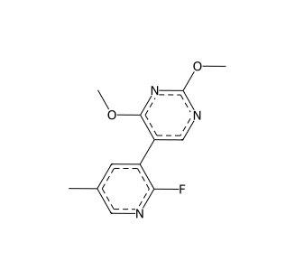 COc1ncc(-c2cc(C)cnc2F)c(OC)n1